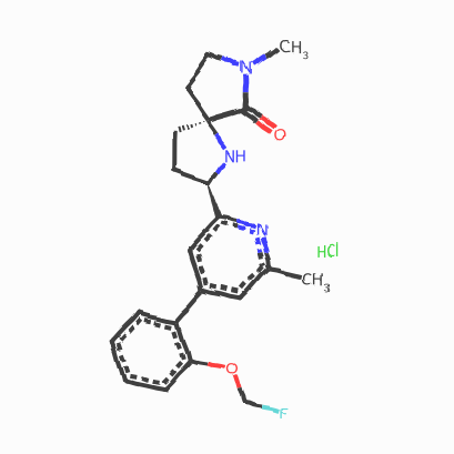 Cc1cc(-c2ccccc2OCF)cc([C@H]2CC[C@@]3(CCN(C)C3=O)N2)n1.Cl